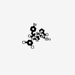 CC(C)(C)OC(=O)C1CCCN1S(=O)(=O)c1cnc2n1C(C)(Cc1ccc(Br)cc1)C(=O)N2c1cc(Cl)cc(Cl)c1